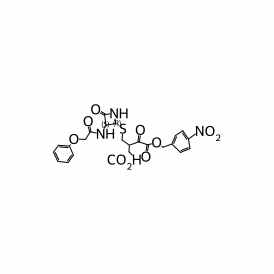 O=C(O)CC(CS[C@H]1NC(=O)[C@@H]1NC(=O)COc1ccccc1)C(=O)C(=O)OCc1ccc([N+](=O)[O-])cc1